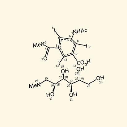 CNC(=O)c1c(I)c(NC(C)=O)c(I)c(C(=O)O)c1I.CNC[C@H](O)[C@@H](O)[C@H](O)[C@H](O)CO